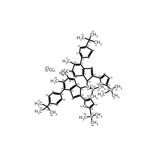 Cc1cc2c(c(-c3ccc(C(C)(C)C)cc3)c1C)C=C(c1ccc([Si](C)(C)C)o1)[CH]2[Zr+2]([CH]1C(c2ccc([Si](C)(C)C)o2)=Cc2c1cc(C)c(C)c2-c1ccc(C(C)(C)C)cc1)=[Si](C)C.[Cl-].[Cl-]